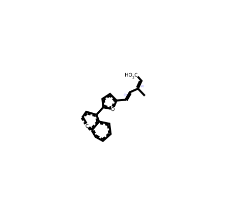 CC(=C/C(=O)O)/C=C/c1ccc(-c2cccc3ccccc23)o1